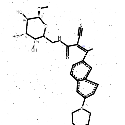 CO[C@H]1OC(CNC(=O)/C(C#N)=C(/C)c2ccc3cc(N4CCCCC4)ccc3c2)[C@H](O)[C@H](O)[C@H]1O